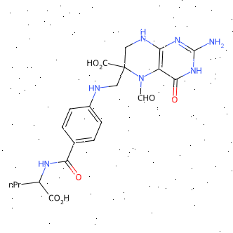 CCCC(NC(=O)c1ccc(NCC2(C(=O)O)CNc3nc(N)[nH]c(=O)c3N2C=O)cc1)C(=O)O